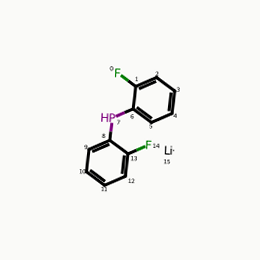 Fc1ccccc1Pc1ccccc1F.[Li]